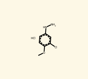 COc1ccc(NN)cc1Cl.Cl